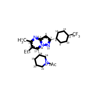 CCc1c(C)nc2cc([C@H]3CC[C@H](C(F)(F)F)CC3)nn2c1[C@H]1CCCN(C(C)=O)C1